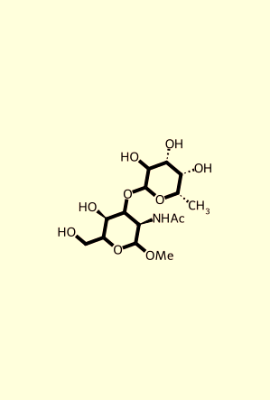 COC1OC(CO)[C@@H](O)C(OC2O[C@@H](C)[C@@H](O)[C@@H](O)C2O)[C@H]1NC(C)=O